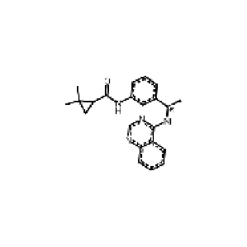 C[C@@H](Nc1ncnc2ccccc12)c1cccc(NC(=O)C2CC2(C)C)c1